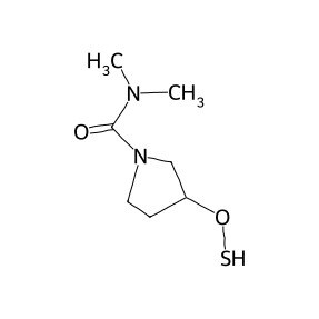 CN(C)C(=O)N1CCC(OS)C1